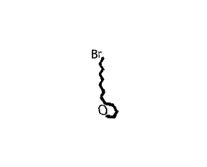 BrCCCCCCCCC1CCCCO1